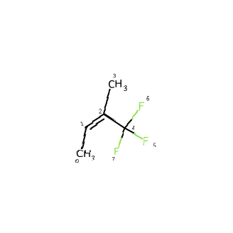 C/C=C(/C)C(F)(F)F